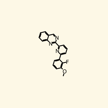 COc1cccc(-c2cccc(-c3ncc4ccccc4n3)n2)c1F